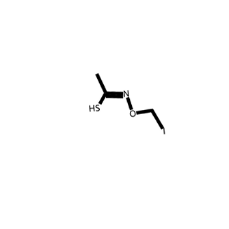 C/C(S)=N/OCI